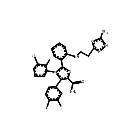 NC(=O)c1nc(-c2ccccc2NCCc2nnc(N)o2)n(-c2cccc(Cl)c2F)c1-c1ccc(F)c(Cl)c1